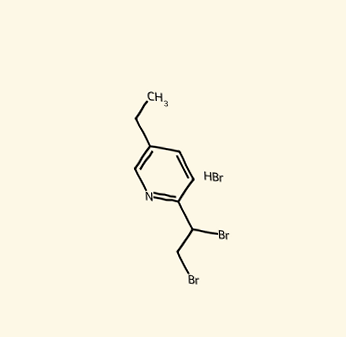 Br.CCc1ccc(C(Br)CBr)nc1